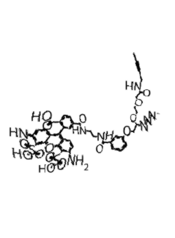 CC#CCNC(=O)COCCOC(COc1cccc(C(=O)NCCNC(=O)c2ccc(C(=O)O)c(-c3c4ccc(=N)c(S(=O)(=O)O)c-4oc4c(S(=O)(=O)O)c(N)ccc34)c2)c1)N=[N+]=[N-]